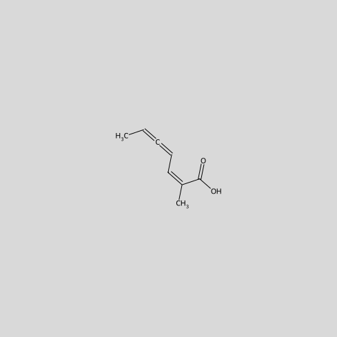 CC=C=CC=C(C)C(=O)O